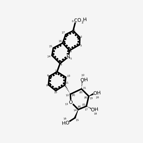 O=C(O)c1ccc2nc(-c3cccc([C@H]4O[C@H](CO)[C@@H](O)[C@H](O)[C@H]4O)c3)ccc2c1